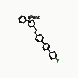 CCCCC[Si]1(c2ccccc2)CCC(CCc2ccc(-c3ccc(-c4ccc(F)cc4)cc3)cc2)CC1